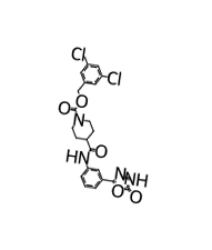 O=C(Nc1cccc(-c2n[nH]c(=O)o2)c1)C1CCN(C(=O)OCc2cc(Cl)cc(Cl)c2)CC1